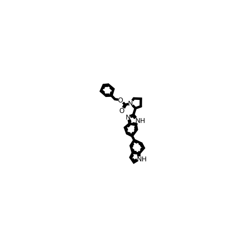 O=C(OCc1ccccc1)N1CCCC1c1nc2ccc(-c3ccc4[nH]ccc4c3)cc2[nH]1